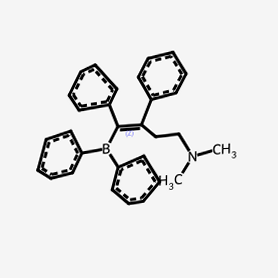 CN(C)CC/C(=C(\B(c1ccccc1)c1ccccc1)c1ccccc1)c1ccccc1